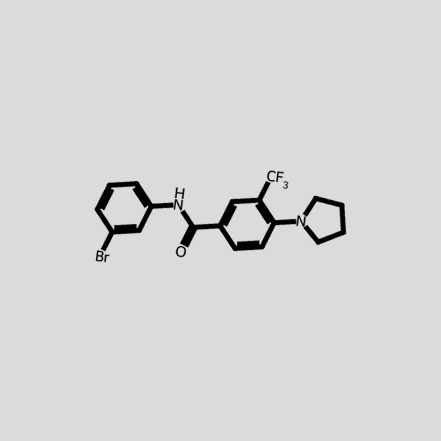 O=C(Nc1cccc(Br)c1)c1ccc(N2CCCC2)c(C(F)(F)F)c1